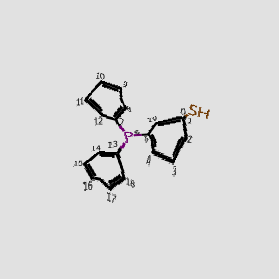 Sc1cccc(P(c2ccccc2)c2ccccc2)c1